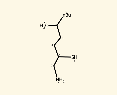 CCCCC(C)CCC(S)CN